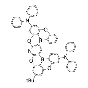 CC(C)(C)c1cc2c3c(c1)Oc1nc4c(cc1B3c1ccc(N(c3ccccc3)c3ccccc3)cc1O2)B1c2ccccc2Oc2cc(N(c3ccccc3)c3ccccc3)cc(c21)O4